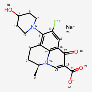 C[C@H]1CCc2c(N3CCC(O)CC3)c(F)cc3c(=O)c(C(=O)[O-])cn1c23.[Na+]